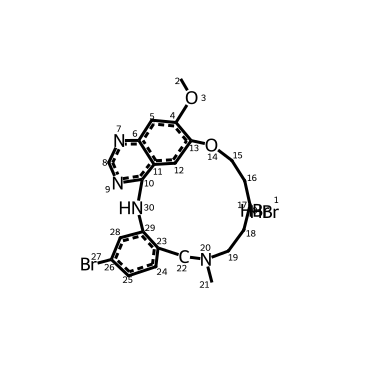 Br.Br.COc1cc2ncnc3c2cc1OCCCCCN(C)Cc1ccc(Br)cc1N3